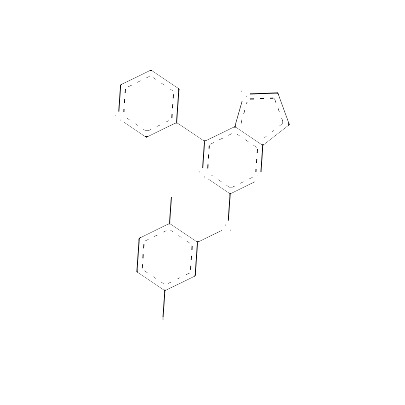 Cc1ccc(C)c(Nc2nc(-c3cccnc3)c3[nH]ccc3n2)c1